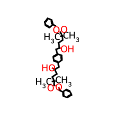 CC(C)(CCC(O)Cc1ccc(CC(O)CCC(C)(C)C(=O)OCc2ccccc2)cc1)C(=O)OCc1ccccc1